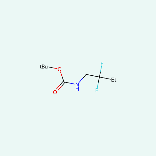 CCC(F)(F)CNC(=O)OC(C)(C)C